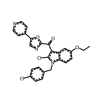 CCOc1ccc2c(c1)c(C(=O)c1ncc(-c3ccncc3)o1)c(Cl)n2Cc1ccc(Cl)cc1